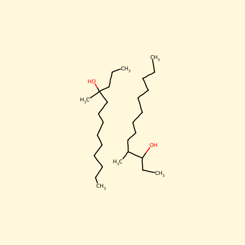 CCCCCCCCCC(C)(O)CCC.CCCCCCCCCC(C)C(O)CC